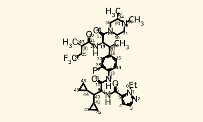 CCn1nccc1C(=O)N[C@H](C(=O)Nc1ccc([C@H](C)[C@@H](NC(=O)[C@H](C)CC(F)(F)F)C(=O)N2CCN(C)[C@H](C)C2)cc1F)C(C1CC1)C1CC1